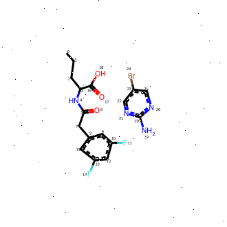 CCCC(NC(=O)Cc1cc(F)cc(F)c1)C(=O)O.Nc1ncc(Br)cn1